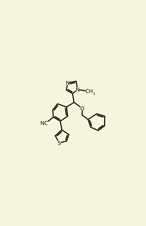 Cn1cncc1C(OCc1ccccc1)c1ccc(C#N)c(-c2ccsc2)c1